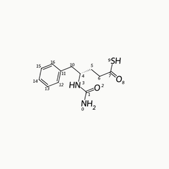 NC(=O)N[C@@H](CCC(=O)S)Cc1ccccc1